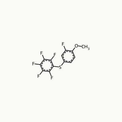 COc1ccc(Sc2c(F)c(F)c(F)c(F)c2F)cc1F